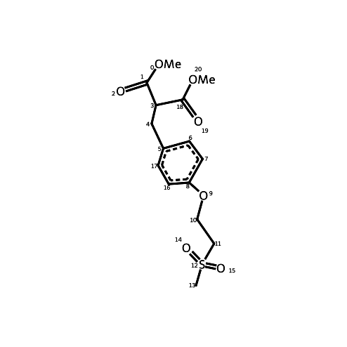 COC(=O)C(Cc1ccc(OCCS(C)(=O)=O)cc1)C(=O)OC